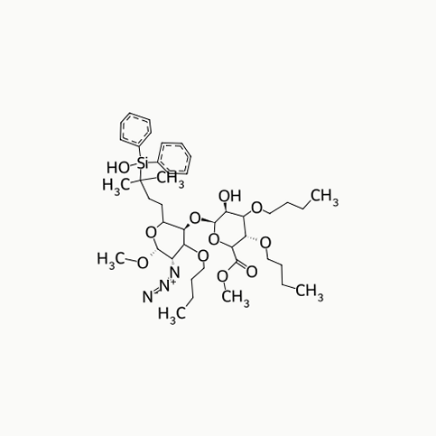 CCCCOC1[C@H](OCCCC)C(C(=O)OC)O[C@@H](O[C@@H]2C(CCC(C)(C)[Si](O)(c3ccccc3)c3ccccc3)O[C@@H](OC)[C@@H](N=[N+]=[N-])C2OCCCC)[C@H]1O